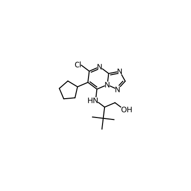 CC(C)(C)C(CO)Nc1c(C2CCCC2)c(Cl)nc2ncnn12